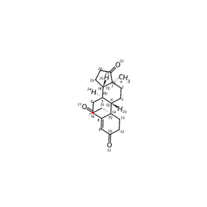 C[C@]12CC[C@H]3[C@@H](CCC4=CC(=O)CC[C@@]43CC=O)[C@@H]1CCC2=O